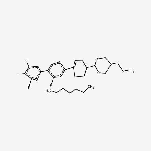 CCCC1COC(C2CC=C(c3ccc(-c4cc(F)c(F)c(F)c4)c(F)c3)CC2)OC1.CCCCCCC